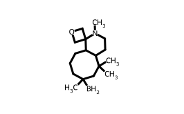 BC1(C)CCCC2C(CCN(C)C23COC3)C(C)(C)C1